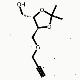 C#CCOC[C@@H]1OC(C)(C)O[C@H]1CO